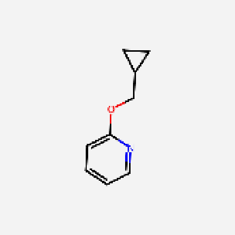 c1ccc(OCC2CC2)nc1